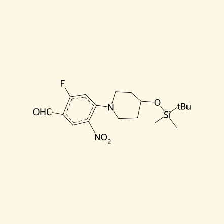 CC(C)(C)[Si](C)(C)OC1CCN(c2cc(F)c(C=O)cc2[N+](=O)[O-])CC1